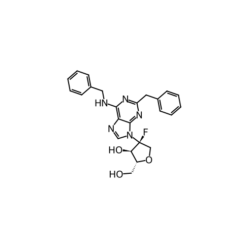 OC[C@H]1OC[C@@](F)(n2cnc3c(NCc4ccccc4)nc(Cc4ccccc4)nc32)[C@@H]1O